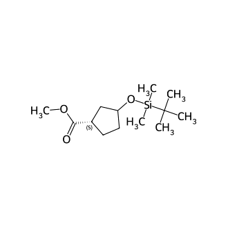 COC(=O)[C@H]1CCC(O[Si](C)(C)C(C)(C)C)C1